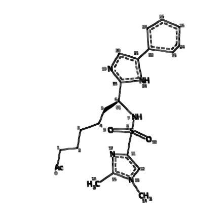 CC(=O)CCCCC[C@H](NS(=O)(=O)c1cn(C)c(C)n1)c1ncc(-c2ccccc2)[nH]1